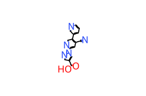 N#Cc1cc(-n2cc(C(=O)O)cn2)ncc1-c1cccnc1